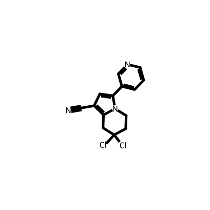 N#Cc1cc(-c2cccnc2)n2c1CC(Cl)(Cl)CC2